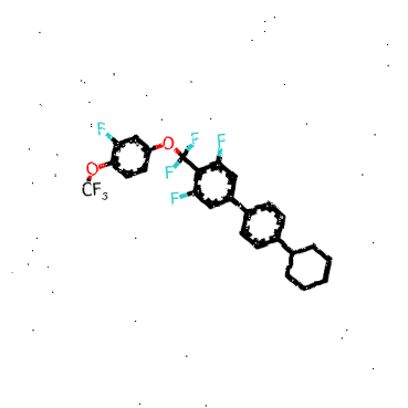 Fc1cc(OC(F)(F)c2c(F)cc(-c3ccc(C4CCCCC4)cc3)cc2F)ccc1OC(F)(F)F